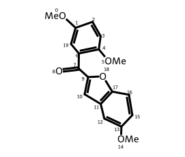 COc1ccc(OC)c(C(=O)c2cc3cc(OC)ccc3o2)c1